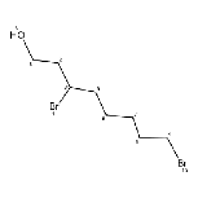 OCCC(Br)CCCCCBr